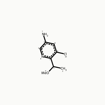 COC(C)c1ncc(N)cc1Cl